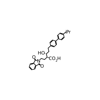 CC(C)c1ccc(-c2ccc(CC[C@@H](O)[C@H](CCN3C(=O)c4ccccc4C3=O)C(=O)O)cc2)cc1